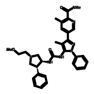 CNC(=O)c1ncc(-c2nn(-c3ccccc3)c(NC(=O)N[C@@H]3CN(CCOC)C[C@H]3c3ccccc3)c2C)cc1C